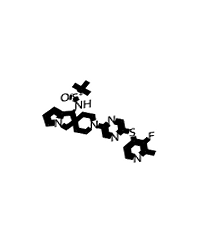 Cc1nccc(Sc2cnc(N3CCC4(CC3)Cn3cccc3[C@H]4N[S+]([O-])C(C)(C)C)cn2)c1F